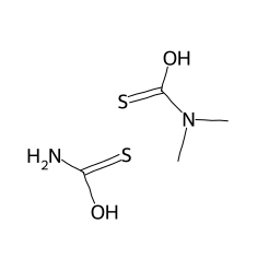 CN(C)C(O)=S.NC(O)=S